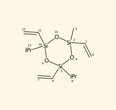 C=C[Si]1(C)O[Si](C=C)(C(C)C)O[Si](C=C)(C(C)C)O1